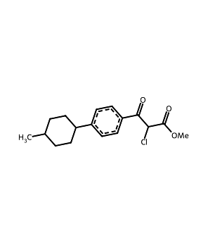 COC(=O)C(Cl)C(=O)c1ccc(C2CCC(C)CC2)cc1